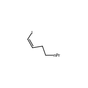 CCCCC/C=C\I